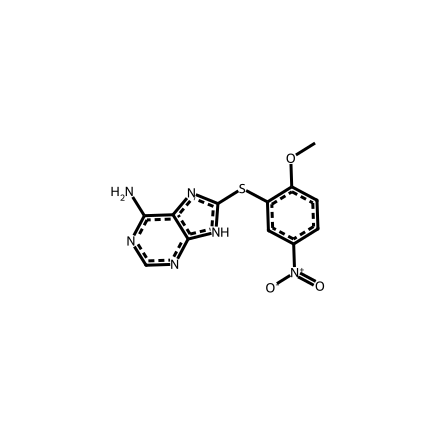 COc1ccc([N+](=O)[O-])cc1Sc1nc2c(N)ncnc2[nH]1